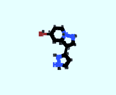 Brc1ccn2ncc(-c3cc[nH]n3)c2c1